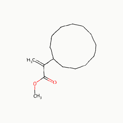 C=C(C(=O)OC)C1CCCCCCCCCCC1